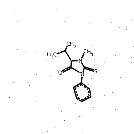 CC(C)C1C(=O)N(c2ccccc2)C(=S)N1C